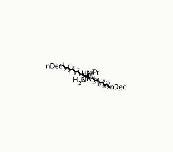 CCCCCCCCCCCCCCCCCCCC(N)C(=NCCCCCCCCCCCCCCCCCC)NC(C)C